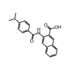 CC(C)c1ccc(C(=O)Nc2cc3ccccc3cc2C(=O)O)cc1